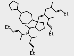 CC/C=C/C(C)C/C(=C/C1(C2CCCC(C3CCCC3)CC2)CCC[C@H]1C(C)P(C(C)/C=C/CC)C(C)/C=C/CC)C(C)/C=C/CC